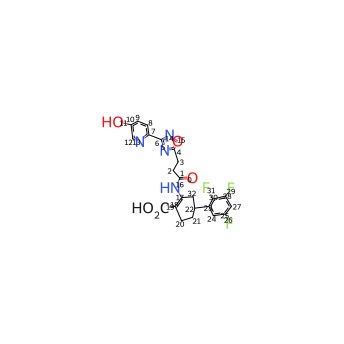 O=C(CCc1nc(-c2ccc(O)cn2)no1)NC1=C(C(=O)O)CCC(c2cc(F)cc(F)c2F)C1